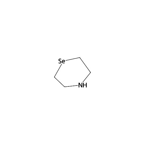 C1C[Se]CCN1